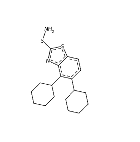 NSc1nc2c(C3CCCCC3)c(C3CCCCC3)ccc2s1